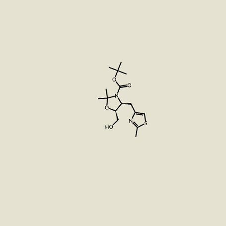 Cc1nc(C[C@H]2[C@@H](CO)OC(C)(C)N2C(=O)OC(C)(C)C)cs1